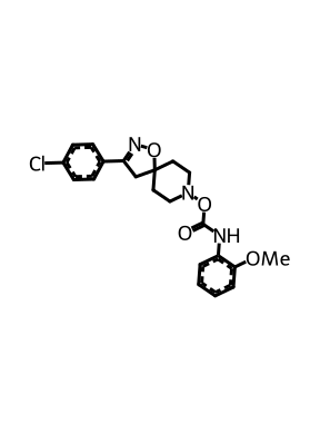 COc1ccccc1NC(=O)ON1CCC2(CC1)CC(c1ccc(Cl)cc1)=NO2